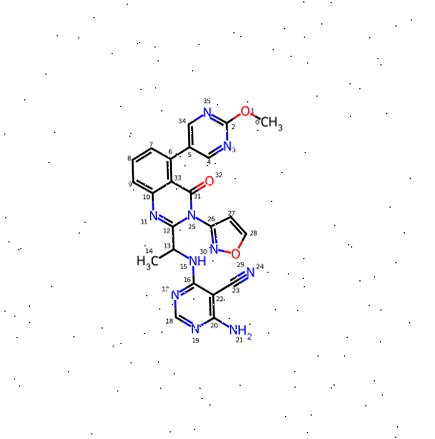 COc1ncc(-c2cccc3nc(C(C)Nc4ncnc(N)c4C#N)n(-c4ccon4)c(=O)c23)cn1